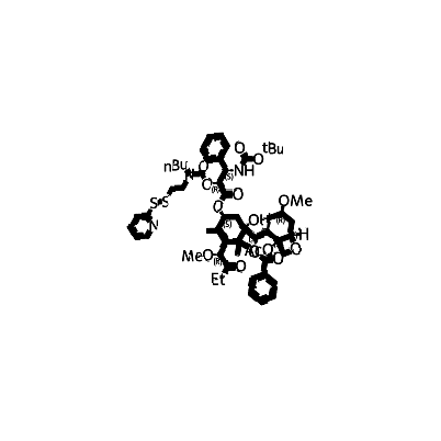 CCCCN(CCSSc1ccccn1)C(=O)O[C@@H](C(=O)O[C@H]1C[C@@](O)([C@@H](OC(=O)c2ccccc2)[C@H]2C[C@@H](OC)C[C@H]3OC[C@@]23OC(C)=O)C(C)(C)C([C@@H](OC)C(=O)CC)=C1C)[C@@H](NC(=O)OC(C)(C)C)c1ccccc1